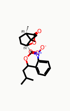 CC(C)CC(OC(=O)[C@@]12CC[C@@](C)(C(=O)O1)C2(C)C)c1ccccc1[N+](=O)[O-]